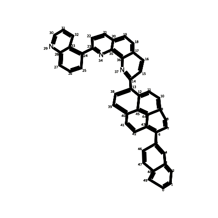 c1ccc2cc(-c3ccc4ccc5c(-c6ccc7ccc8ccc(-c9cccc%10ncccc9%10)nc8c7n6)ccc6ccc3c4c65)ccc2c1